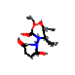 C[C@@H](O)[C@@H](C(=O)O)N(C(=O)OC(C)(C)C)N1C(=O)CCC1=O